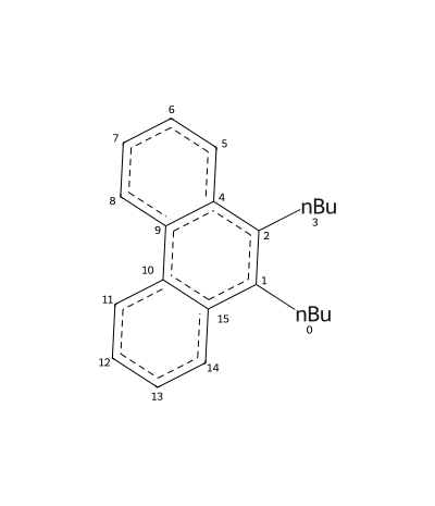 CCCCc1c(CCCC)c2ccccc2c2ccccc12